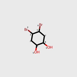 OC1CC(Br)C(Br)CC1O